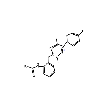 CO/N=C(\C(C)=NOCc1ccccc1NC(=O)O)c1ccc(F)cc1